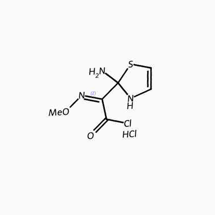 CO/N=C(\C(=O)Cl)C1(N)NC=CS1.Cl